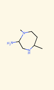 CC1CCN(C)C(N)CN1